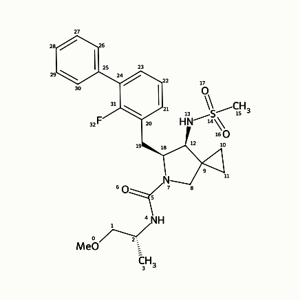 COC[C@@H](C)NC(=O)N1CC2(CC2)[C@H](NS(C)(=O)=O)[C@@H]1Cc1cccc(-c2ccccc2)c1F